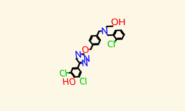 OCCN(Cc1ccc(COc2ncc(-c3cc(Cl)c(O)c(Cl)c3)nn2)cc1)Cc1ccccc1Cl